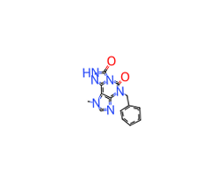 Cn1cnc2c1c1n[nH]c(=O)n1c(=O)n2Cc1ccccc1